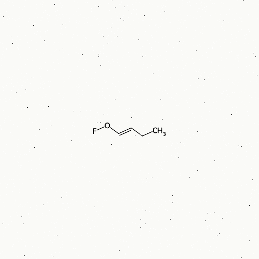 CCC=COF